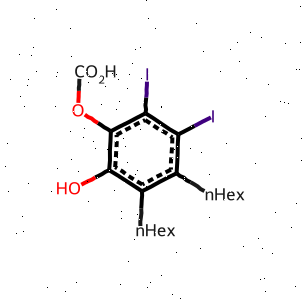 CCCCCCc1c(O)c(OC(=O)O)c(I)c(I)c1CCCCCC